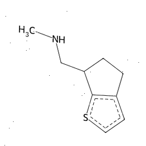 CNCC1CCc2ccsc21